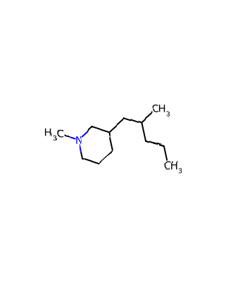 CCCC(C)CC1CCCN(C)C1